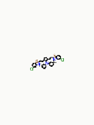 CCN1C(=CC=C2CCC(C=Cc3sc4ccc(Cl)cc4[n+]3CC)=C2N(C2=CCCC=C2)c2ccccc2)Sc2ccc(Cl)cc21